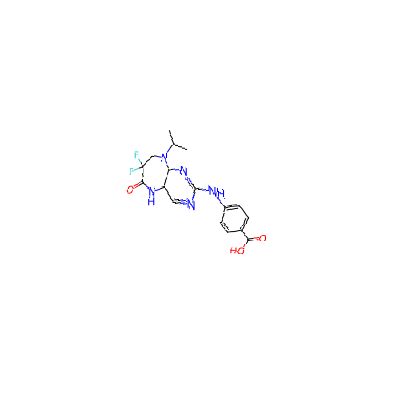 CC(C)N1CC(F)(F)C(=O)NC2C=NC(Nc3ccc(C(=O)O)cc3)=NC21